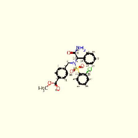 COC(=O)c1ccc(CN(C(C(N)=O)c2ccccc2)S(=O)(=O)c2ccccc2Cl)cc1